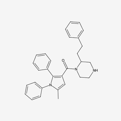 Cc1cc(C(=O)N2CCNCC2CCc2ccccc2)c(-c2ccccc2)n1-c1ccccc1